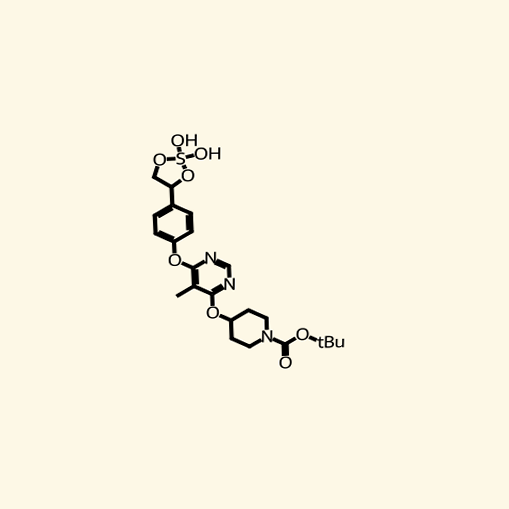 Cc1c(Oc2ccc(C3COS(O)(O)O3)cc2)ncnc1OC1CCN(C(=O)OC(C)(C)C)CC1